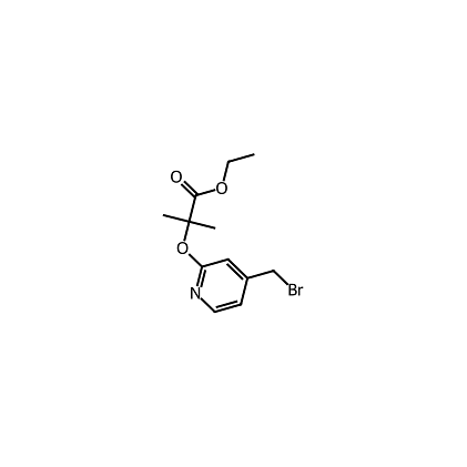 CCOC(=O)C(C)(C)Oc1cc(CBr)ccn1